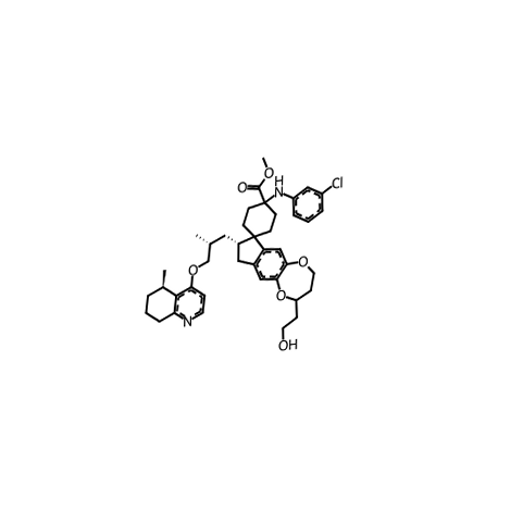 COC(=O)C1(Nc2cccc(Cl)c2)CCC2(CC1)c1cc3c(cc1C[C@@H]2C[C@@H](C)COc1ccnc2c1[C@H](C)CCC2)OC(CCO)CCO3